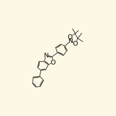 CC1(C)ON(c2ccc(-c3nc4ccc(-c5ccccc5)cc4o3)cc2)OC1(C)C